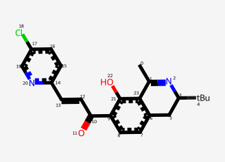 CC1=NC(C(C)(C)C)Cc2ccc(C(=O)/C=C/c3ccc(Cl)cn3)c(O)c21